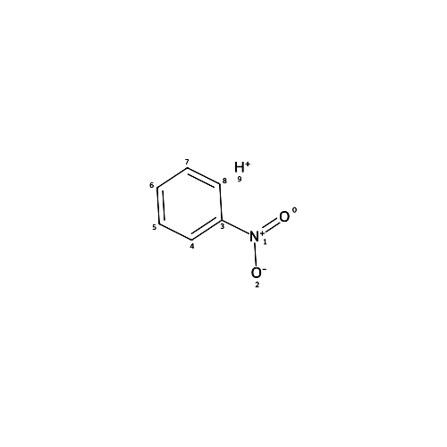 O=[N+]([O-])c1ccccc1.[H+]